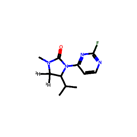 [2H]C1([2H])C(C(C)C)N(c2ccnc(F)n2)C(=O)N1C